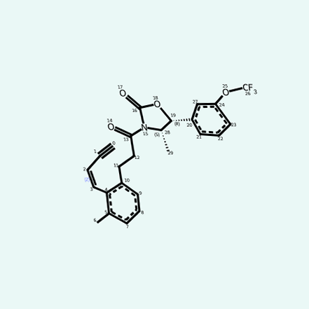 C#C/C=C\c1c(C)cccc1CCC(=O)N1C(=O)O[C@H](c2cccc(OC(F)(F)F)c2)[C@@H]1C